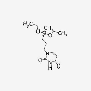 CCO[Si](C)(CCCn1ccc(=O)[nH]c1=O)OCC